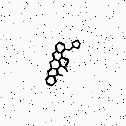 Cc1c2c(cc3ccccc13)Sc1cc3cccc(CC4CCCC4)c3c3cc[n+](C)c-2c13